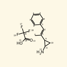 C/C(=C\c1ccccc1)C1CC1N.O=C(O)C(F)(F)F